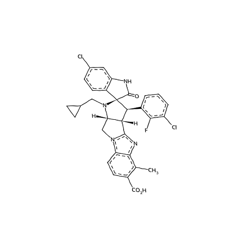 Cc1c(C(=O)O)ccc2c1nc1n2C[C@H]2[C@@H]1[C@H](c1cccc(Cl)c1F)[C@]1(C(=O)Nc3cc(Cl)ccc31)N2CC1CC1